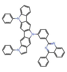 c1ccc(-c2nc(-c3cccc(-n4c5cc6ccn(-c7ccccc7)c6cc5c5cc6c(cc54)c4ccccc4n6-c4ccccc4)c3)nc3ccccc23)cc1